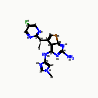 C[C@H](c1ncc(F)cn1)c1csc2nc(N)nc(Nc3cn(C)cn3)c12